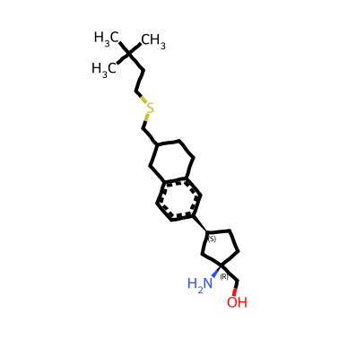 CC(C)(C)CCSCC1CCc2cc([C@H]3CC[C@](N)(CO)C3)ccc2C1